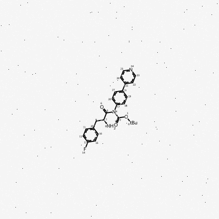 CC(C)(C)OC(=O)N(C(=O)[C@@H](N)Cc1ccc(F)cc1)c1ccc(-c2ccncc2)cc1